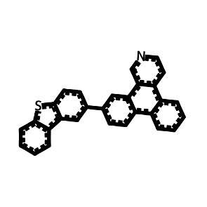 c1ccc2c(c1)sc1ccc(-c3ccc4c5ccccc5c5ccncc5c4c3)cc12